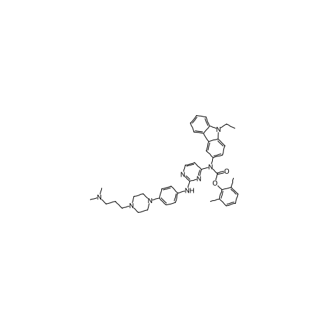 CCn1c2ccccc2c2cc(N(C(=O)Oc3c(C)cccc3C)c3ccnc(Nc4ccc(N5CCN(CCCN(C)C)CC5)cc4)n3)ccc21